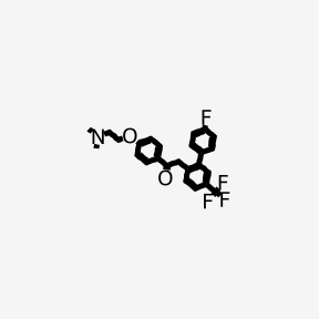 CN(C)CCOc1ccc(C(=O)Cc2ccc(C(F)(F)F)cc2-c2ccc(F)cc2)cc1